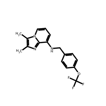 Cc1nc2c(NCc3ccc(OC(F)(F)F)cc3)cccn2c1C